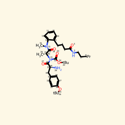 CC(C)CCNC(=O)CCCc1ccccc1N(C)C(=O)[C@@H](C)N(C(=O)OC(C)(C)C)C(=O)[C@@H](N)Cc1ccc(OC(C)(C)C)cc1